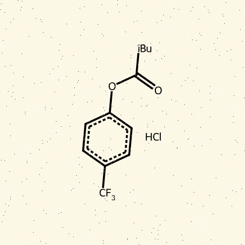 CCC(C)C(=O)Oc1ccc(C(F)(F)F)cc1.Cl